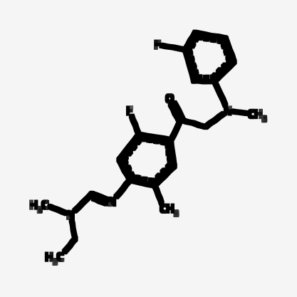 CCN(C)C=Nc1cc(F)c(C(=O)CN(C)c2cccc(F)c2)cc1C